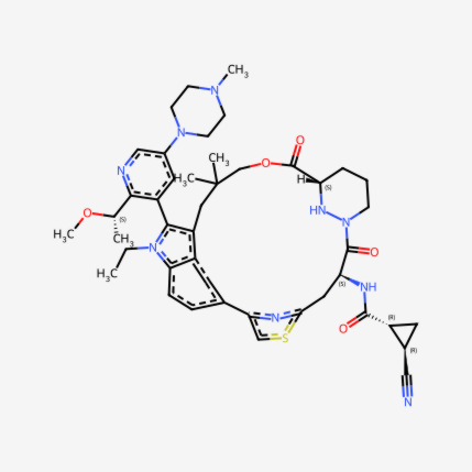 CCn1c(-c2cc(N3CCN(C)CC3)cnc2[C@H](C)OC)c2c3cc(ccc31)-c1csc(n1)C[C@H](NC(=O)[C@@H]1C[C@H]1C#N)C(=O)N1CCC[C@H](N1)C(=O)OCC(C)(C)C2